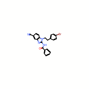 N#Cc1ccc2c(c1)nc(NC(=O)c1ccccc1)n2CCc1ccc(Br)cc1